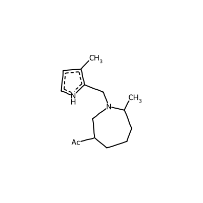 CC(=O)C1CCCC(C)N(Cc2[nH]ccc2C)C1